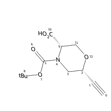 C#C[C@@H]1CN(C(=O)OC(C)(C)C)[C@H](C(=O)O)CO1